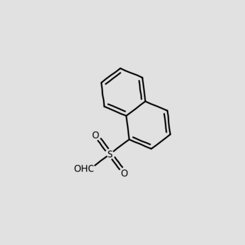 O=CS(=O)(=O)c1cccc2ccccc12